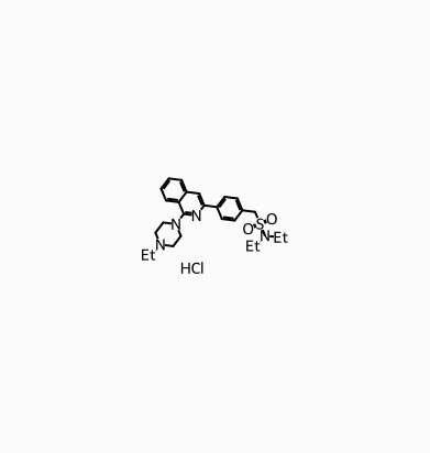 CCN1CCN(c2nc(-c3ccc(CS(=O)(=O)N(CC)CC)cc3)cc3ccccc23)CC1.Cl